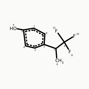 CC(c1ccc(O)cc1)C(F)(F)F